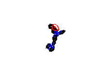 Cc1ccccc1N(c1ccc2c(c1)-c1ccc(N(c3ccccc3)c3ccc4c(c3)oc3ccccc34)cc1C2)c1ccccc1C